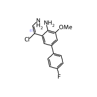 COc1cc(-c2ccc(F)cc2)cc(/C(Cl)=C\N)c1N